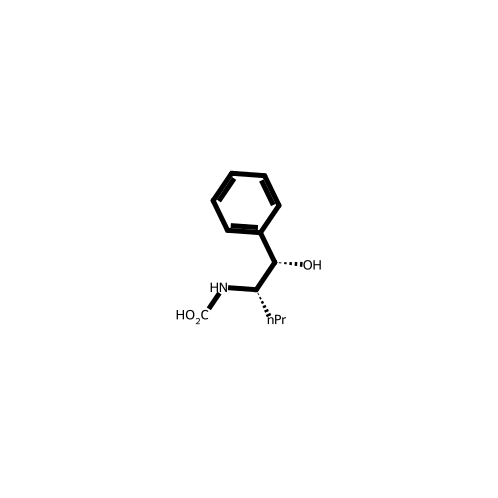 CCC[C@H](NC(=O)O)[C@@H](O)c1ccccc1